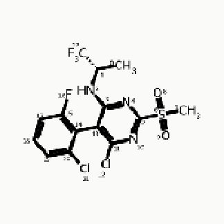 C[C@H](Nc1nc(S(C)(=O)=O)nc(Cl)c1-c1c(F)cccc1Cl)C(F)(F)F